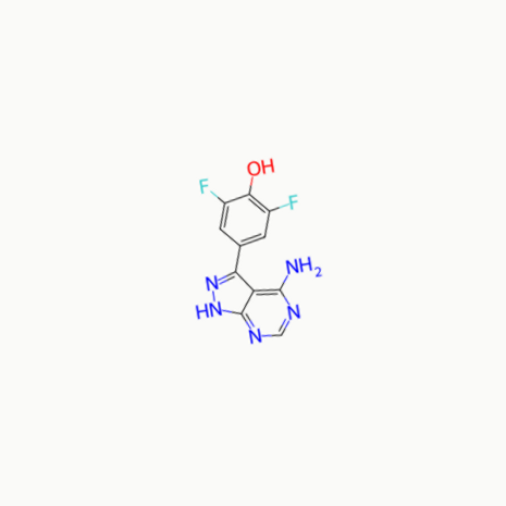 Nc1ncnc2[nH]nc(-c3cc(F)c(O)c(F)c3)c12